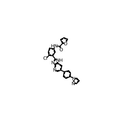 O=C(Nc1ccc(Cl)c(-c2nc3ncc(-c4ccc(-n5cccn5)cc4)cc3[nH]2)c1)c1ccco1